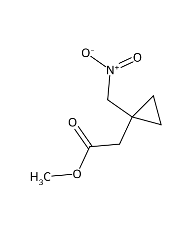 COC(=O)CC1(C[N+](=O)[O-])CC1